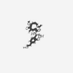 CCN1C/C=C\C(OC)=C(\Cl)C(C)/C=C\1C(=O)N[C@H](CO)c1ccc(CCO)cc1Cl